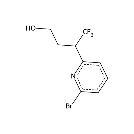 OCCC(c1cccc(Br)n1)C(F)(F)F